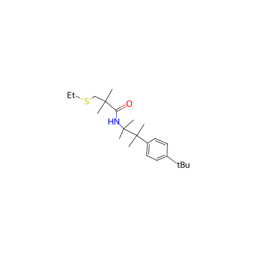 CCSCC(C)(C)C(=O)NC(C)(C)C(C)(C)c1ccc(C(C)(C)C)cc1